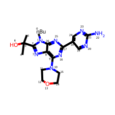 CCCCn1c(C(C)(C)O)nc2c(N3CCOCC3)nc(-c3cnc(N)nc3)nc21